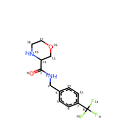 O=C(NCc1ccc(C(F)(F)F)cc1)C1COCCN1